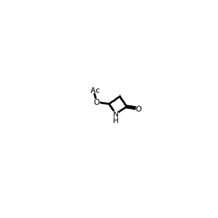 CC(=O)OC1[CH]C(=O)N1